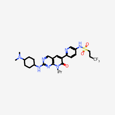 CC(C)n1c(=O)c(-c2ccc(NS(=O)(=O)CCC(F)(F)F)cn2)cc2cnc(NC3CCC(N(C)C)CC3)nc21